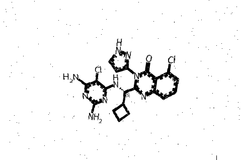 Nc1nc(N)c(Cl)c(N[C@H](c2nc3cccc(Cl)c3c(=O)n2-c2cc[nH]n2)C2CCC2)n1